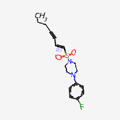 CCCC#C/C=C/S(=O)(=O)N1CCN(c2ccc(F)cc2)CC1